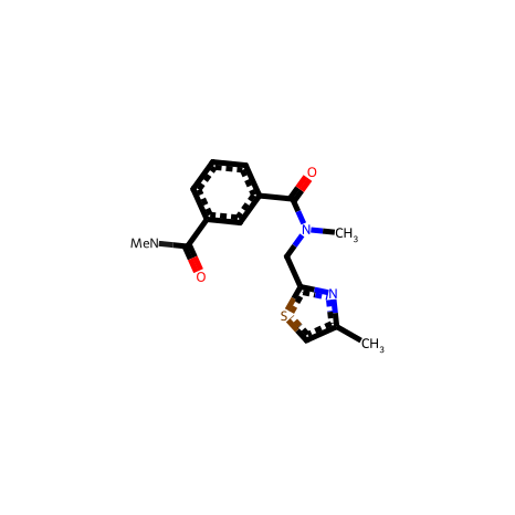 CNC(=O)c1cccc(C(=O)N(C)Cc2nc(C)cs2)c1